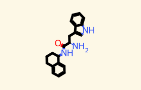 N[C@@H](Cc1c[nH]c2ccccc12)C(=O)NC1CCCc2ccccc21